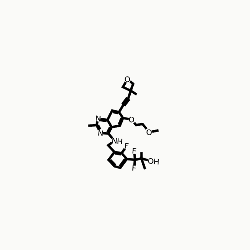 COCCOc1cc2c(NCc3cccc(C(F)(F)C(C)(C)O)c3F)nc(C)nc2cc1C#CC1(C)COC1